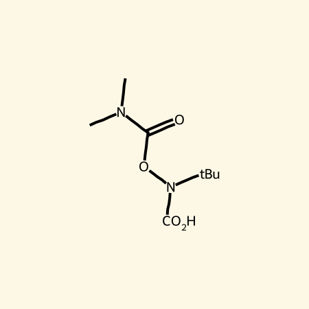 CN(C)C(=O)ON(C(=O)O)C(C)(C)C